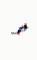 CCCSc1c(C(=O)NC2[C@H]3C[C@@H]4C[C@@H](C[C@H]2C4)C3)cnn1-c1ccc(C(=O)OC)cc1